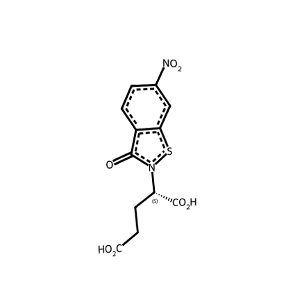 O=C(O)CC[C@@H](C(=O)O)n1sc2cc([N+](=O)[O-])ccc2c1=O